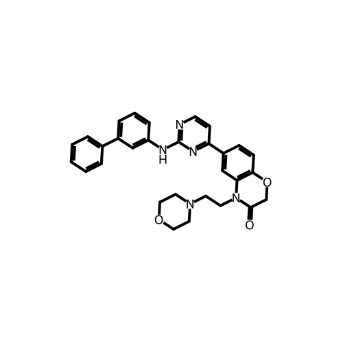 O=C1COc2ccc(-c3ccnc(Nc4cccc(-c5ccccc5)c4)n3)cc2N1CCN1CCOCC1